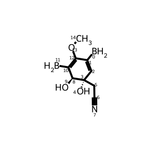 BC1=C[C@@](O)(CC#N)[C@@H](O)C(B)=C1OC